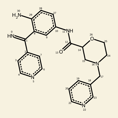 N=C(c1ccncc1)c1cc(NC(=O)C2CN(Cc3cccnc3)CCO2)ccc1N